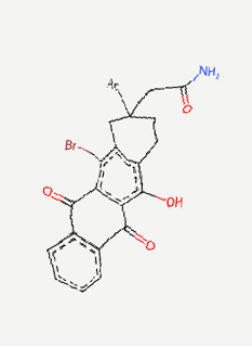 CC(=O)C1(CC(N)=O)CCc2c(O)c3c(c(Br)c2C1)C(=O)c1ccccc1C3=O